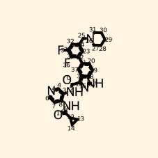 O=C(Nc1cnccc1NC(=O)C1CC1)c1n[nH]c2ccc(-c3cc(CN4CCCCC4)cc(F)c3F)cc12